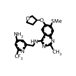 CSc1cc2nc(C)nc(NCc3cc(N)cc(C(F)(F)F)n3)c2cc1O[C@H]1CCOC1